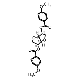 COc1ccc(C(=O)O[C@H]2CO[C@H]3[C@@H]2OC[C@H]3OC(=O)c2ccc(OC)cc2)cc1